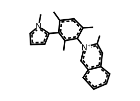 Cc1cc(C)c(-[n+]2cc3ccccc3cc2C)c(C)c1-c1cccn1C